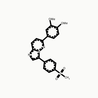 COc1ccc(-c2ccc3ncc(-c4ccc(S(C)(=O)=O)cc4)n3n2)cc1OC